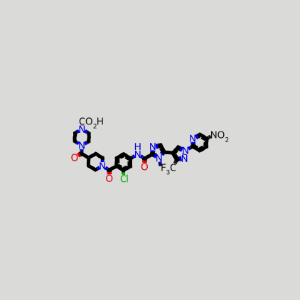 Cn1c(-c2cn(-c3ccc([N+](=O)[O-])cn3)nc2C(F)(F)F)cnc1C(=O)Nc1ccc(C(=O)N2CCC(C(=O)N3CCN(C(=O)O)CC3)CC2)c(Cl)c1